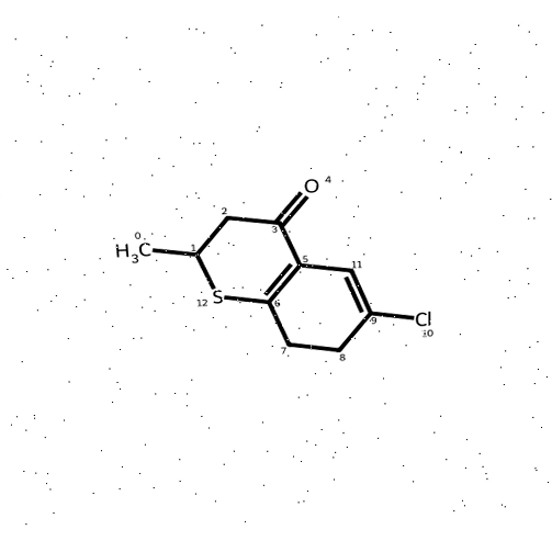 CC1CC(=O)C2=C(CCC(Cl)=C2)S1